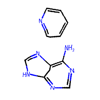 Nc1ncnc2[nH]cnc12.c1ccncc1